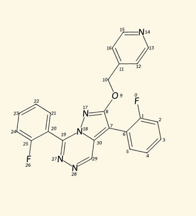 Fc1ccccc1-c1c(OCc2ccncc2)nn2c(-c3ccccc3F)nncc12